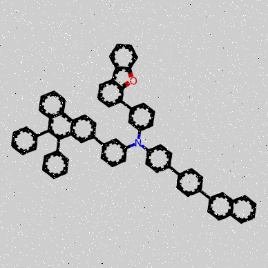 c1ccc(-c2c(-c3ccccc3)c3cc(-c4cccc(N(c5ccc(-c6ccc(-c7ccc8ccccc8c7)cc6)cc5)c5cccc(-c6cccc7c6oc6ccccc67)c5)c4)ccc3c3ccccc23)cc1